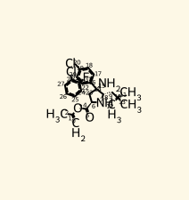 C=C(C)OC(=O)[C@@H]1N[C@@H](CC(C)(C)C)[C@](N)(c2ccc(Cl)cc2)[C@H]1c1cccc(Cl)c1F